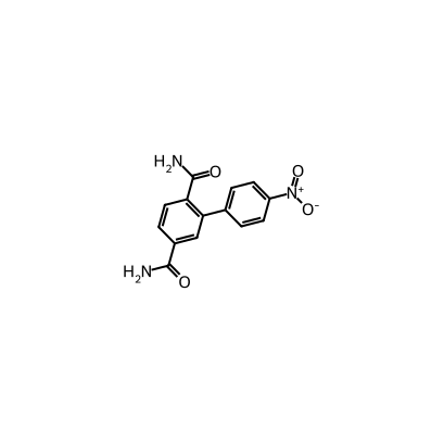 NC(=O)c1ccc(C(N)=O)c(-c2ccc([N+](=O)[O-])cc2)c1